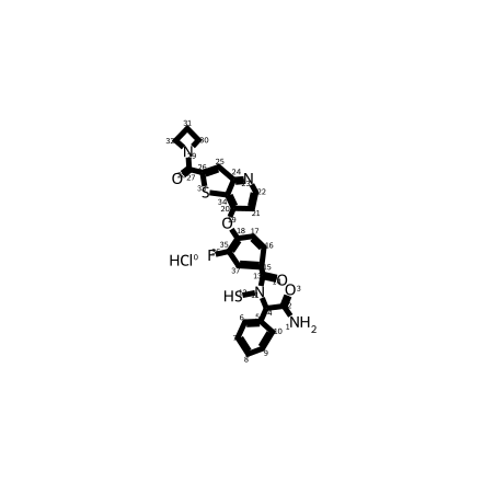 Cl.NC(=O)C(c1ccccc1)N(S)C(=O)c1ccc(Oc2ccnc3cc(C(=O)N4CCC4)sc23)c(F)c1